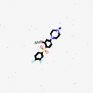 CNc1cc(N2CCN(C)CC2)ccc1S(=O)(=O)c1ccc(F)c(F)c1